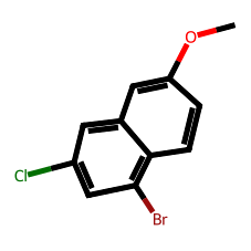 COc1ccc2c(Br)cc(Cl)cc2c1